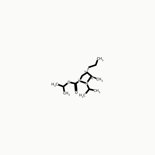 CCC[C@H]1CN(C(=O)OC(C)C)N(C(C)C)[C@@H]1C